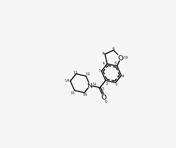 O=C(c1ccc2c(c1)CCO2)N1CCCCC1